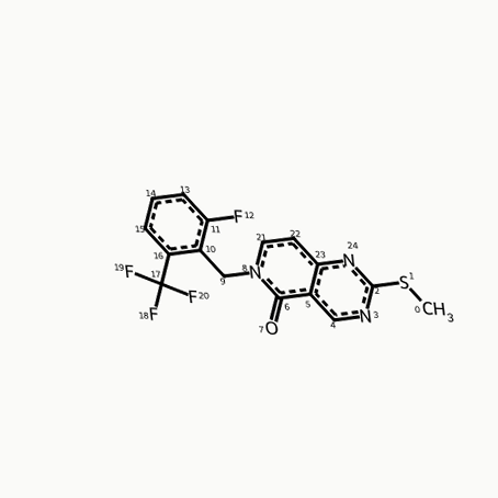 CSc1ncc2c(=O)n(Cc3c(F)cccc3C(F)(F)F)ccc2n1